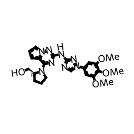 COc1cc(-n2cnc(Nc3nc(N4CCC[C@H]4CO)c4cccn4n3)n2)cc(OC)c1OC